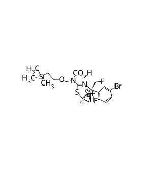 C[Si](C)(C)CCOCN(C(=O)O)C1=N[C@](CF)(c2cc(Br)ccc2F)[C@@H]2C[C@]2(CF)S1